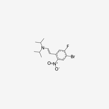 CC(C)N(/C=C/c1cc(F)c(Br)cc1[N+](=O)[O-])C(C)C